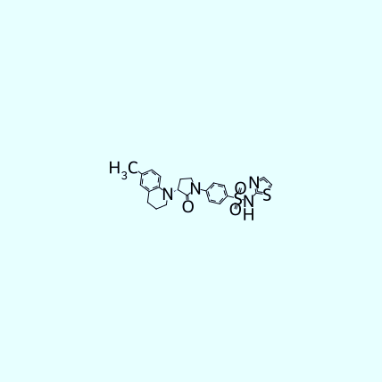 Cc1ccc2c(c1)CCCN2[C@@H]1CCN(c2ccc(S(=O)(=O)Nc3nccs3)cc2)C1=O